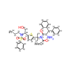 COC(=O)N(C(=O)[C@@H](N)C(c1ccccc1)c1ccccc1)C(C)(C)c1ccc(C(CO)N(CCC(C)C)S(=O)(=O)c2ccccc2)s1